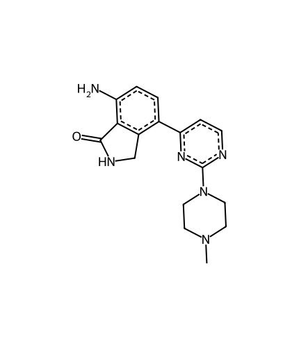 CN1CCN(c2nccc(-c3ccc(N)c4c3CNC4=O)n2)CC1